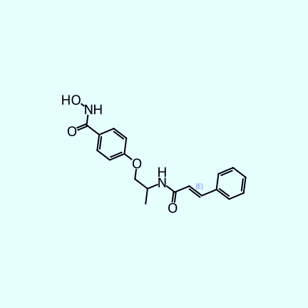 CC(COc1ccc(C(=O)NO)cc1)NC(=O)/C=C/c1ccccc1